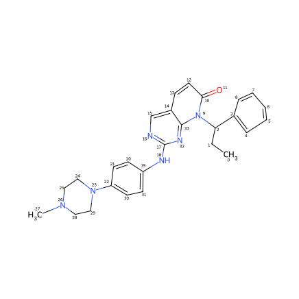 CCC(c1ccccc1)n1c(=O)ccc2cnc(Nc3ccc(N4CCN(C)CC4)cc3)nc21